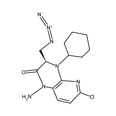 [N-]=[N+]=NC[C@@H]1C(=O)N(N)c2ccc(Cl)nc2N1C1CCCCC1